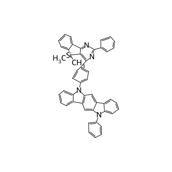 C[Si]1(C)c2ccccc2-c2nc(-c3ccccc3)nc(-c3ccc(-n4c5ccccc5c5cc6c(cc54)c4ccccc4n6-c4ccccc4)cc3)c21